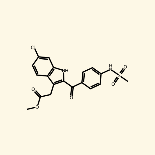 COC(=O)Cc1c(C(=O)c2ccc(NS(C)(=O)=O)cc2)[nH]c2cc(Cl)ccc12